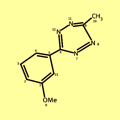 COc1cccc(-c2nnc(C)nn2)c1